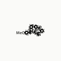 COc1ccc(N(C)C(=O)C(Cc2ccccc2)NC(=O)Cn2cc(-c3ccccc3NC(=O)c3ccc(F)cc3)nn2)cc1